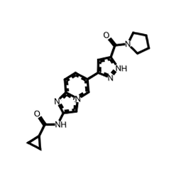 O=C(Nc1cn2cc(-c3cc(C(=O)N4CCCC4)[nH]n3)ccc2n1)C1CC1